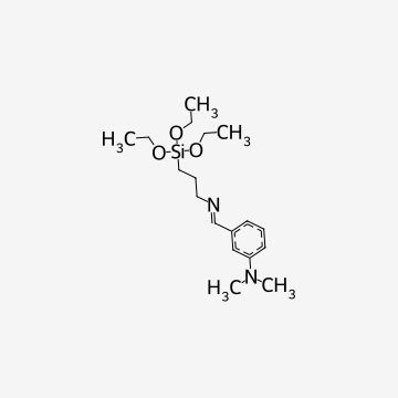 CCO[Si](CCCN=Cc1cccc(N(C)C)c1)(OCC)OCC